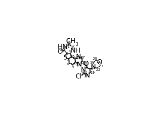 C[C@@H]1CNc2c(sc3ccc4nc(Oc5nc(Cl)ncc5N5CCOCC5)cnc4c23)C(=O)N1